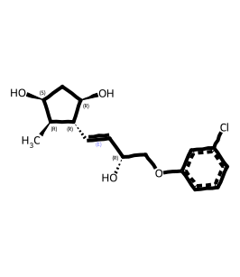 C[C@@H]1[C@@H](/C=C/[C@@H](O)COc2cccc(Cl)c2)[C@H](O)C[C@@H]1O